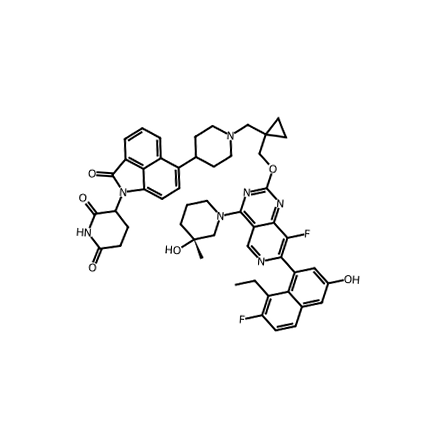 CCc1c(F)ccc2cc(O)cc(-c3ncc4c(N5CCC[C@@](C)(O)C5)nc(OCC5(CN6CCC(c7ccc8c9c(cccc79)C(=O)N8C7CCC(=O)NC7=O)CC6)CC5)nc4c3F)c12